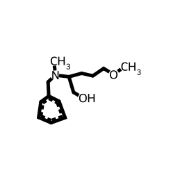 COCCCC(CO)N(C)Cc1ccccc1